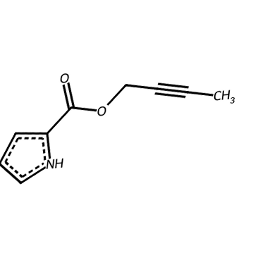 CC#CCOC(=O)c1ccc[nH]1